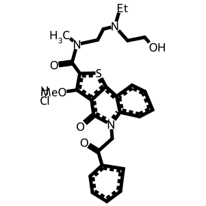 CCN(CCO)CCN(C)C(=O)c1sc2c(c1OC)c(=O)n(CC(=O)c1ccccc1)c1ccccc21.Cl